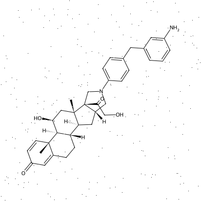 C[C@]12C=CC(=O)C=C1CC[C@@H]1[C@@H]2[C@@H](O)C[C@@]2(C)[C@H]1C[C@H]1CN(c3ccc(Cc4cccc(N)c4)cc3)C[C@]12C(=O)CO